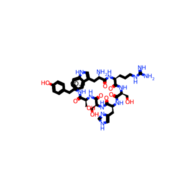 N=C(N)NCCC[C@H](NC(=O)[C@@H](N)Cc1c[nH]c2ccccc12)C(=O)N[C@@H](CO)C(=O)N[C@@H](Cc1c[nH]cn1)C(=O)N[C@@H](CO)C(=O)N[C@@H](CO)C(=O)N[C@@H](Cc1ccc(O)cc1)C(=O)O